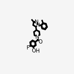 CC1=NN(c2ccccc2C)C(C2CCN(C(=O)c3ccc(F)c(O)c3)CC2)C1